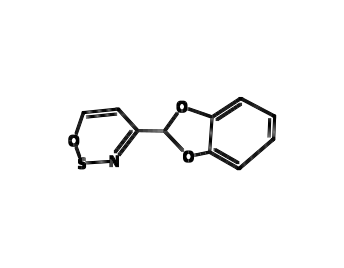 C1=CC(C2Oc3ccccc3O2)=NSO1